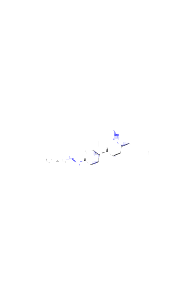 C=C(/C=C\C(=C/C)C(=C)\C=C/C(=C\C)/N=N/CC)N=NNC